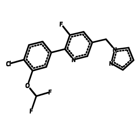 Fc1cc(Cn2cccn2)cnc1-c1ccc(Cl)c(OC(F)F)c1